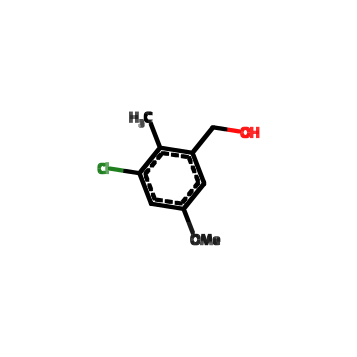 COc1cc(Cl)c(C)c(CO)c1